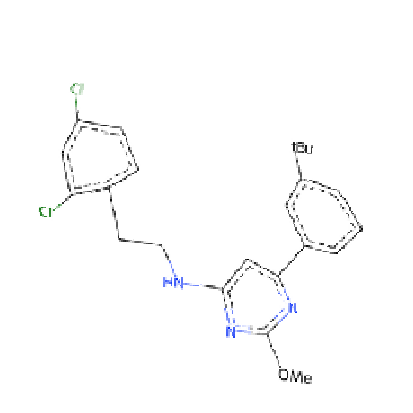 COc1nc(NCCc2ccc(Cl)cc2Cl)cc(-c2cccc(C(C)(C)C)c2)n1